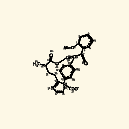 COc1ccccc1C(=O)Oc1ccc([N+]2(C(=O)[O-])C=CN=C2CCN(C)C(=O)OC(C)(C)C)cc1